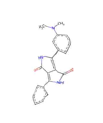 CN(C)c1cccc(C2=C3C(=O)NC(c4ccccc4)=C3C(=O)N2)c1